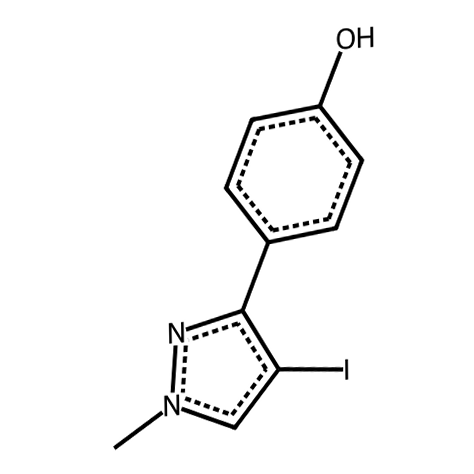 Cn1cc(I)c(-c2ccc(O)cc2)n1